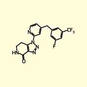 O=C1NCCc2c1nnn2-c1cc(Cc2cc(F)cc(C(F)(F)F)c2)ccn1